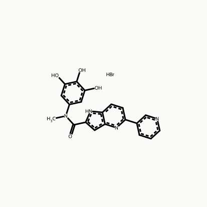 Br.CN(C(=O)c1cc2nc(-c3cccnc3)ccc2[nH]1)c1cc(O)c(O)c(O)c1